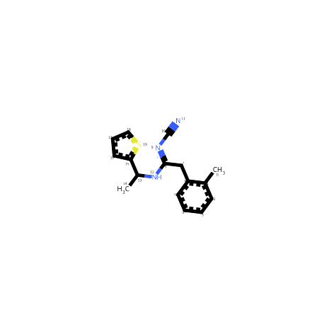 Cc1ccccc1C/C(=N\C#N)NC(C)c1cccs1